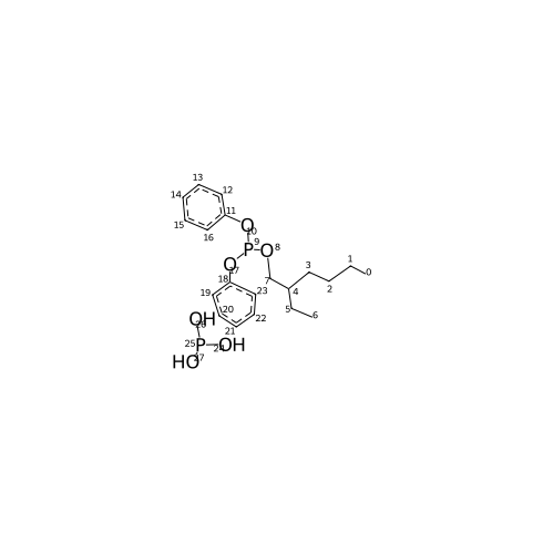 CCCCC(CC)COP(Oc1ccccc1)Oc1ccccc1.OP(O)O